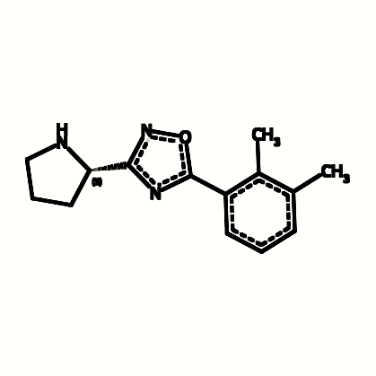 Cc1cccc(-c2nc([C@@H]3CCCN3)no2)c1C